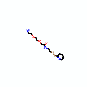 NCCOCCOCC(=O)NCCSSc1ccccn1